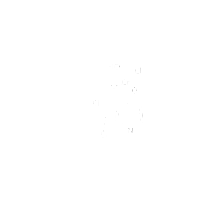 ClCCl.[O]=[Cr](=[O])([OH])[Cl].c1ccncc1